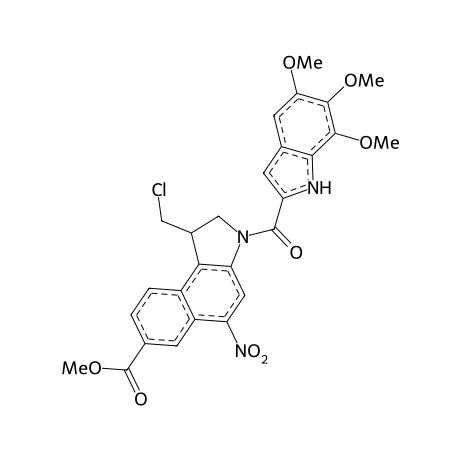 COC(=O)c1ccc2c3c(cc([N+](=O)[O-])c2c1)N(C(=O)c1cc2cc(OC)c(OC)c(OC)c2[nH]1)CC3CCl